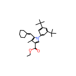 CCOC(=O)c1cn(-c2cc(C(C)(C)C)cc(C(C)(C)C)c2)c(C=C2CCCCC2)c1C